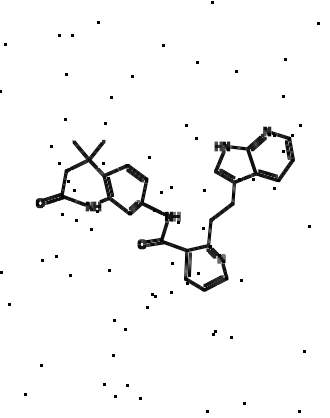 CC1(C)CC(=O)Nc2cc(NC(=O)c3cccnc3CCc3c[nH]c4ncccc34)ccc21